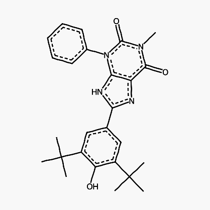 Cn1c(=O)c2nc(-c3cc(C(C)(C)C)c(O)c(C(C)(C)C)c3)[nH]c2n(-c2ccccc2)c1=O